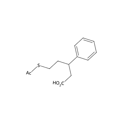 CC(=O)SCCC(CC(=O)O)c1ccccc1